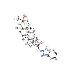 C[C@@]1(O)CC[C@@]2(F)[C@H](CC[C@H]3[C@@H]4CC[C@H](C(=O)Cn5nc6ccccc6n5)[C@@]4(C)CC[C@@H]32)C1